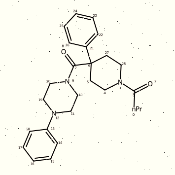 CCCC(=O)N1CCC(C(=O)N2CCN(c3ccccc3)CC2)(c2ccccc2)CC1